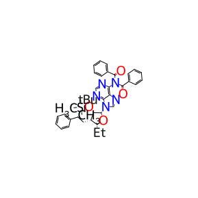 CC[C@H]1O[C@@H](n2cnc3c(N(C(=O)c4ccccc4)C(=O)c4ccccc4)ncnc32)C(O[Si](C)(C)C(C)(C)C)[C@H]1CCc1ccccc1